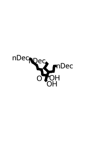 CCCCCCCCCCCCCCCC(=O)[C@@](O)(CO)[C](CCCCCCCCCCCC)CCCCCCCCCCCC